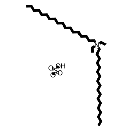 CCCCCCCCCCCCCCCCCC[N+](CC)(CC)CCCCCCCCCCCCCCCCCC.O=S(=O)([O-])O